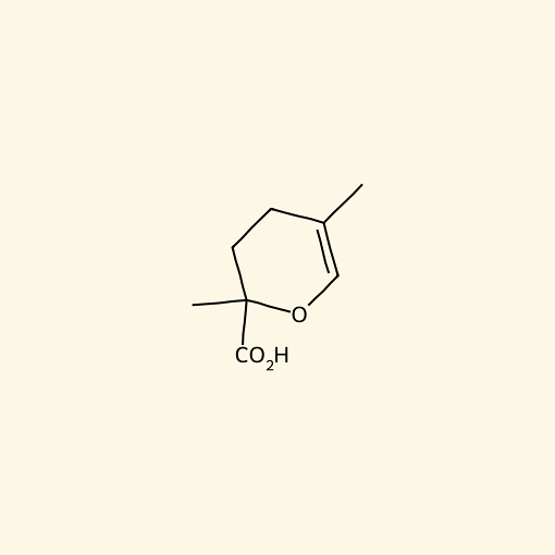 CC1=COC(C)(C(=O)O)CC1